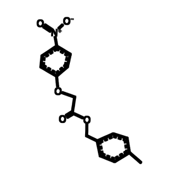 Cc1ccc(COC(=O)COc2ccc([N+](=O)[O-])cc2)cc1